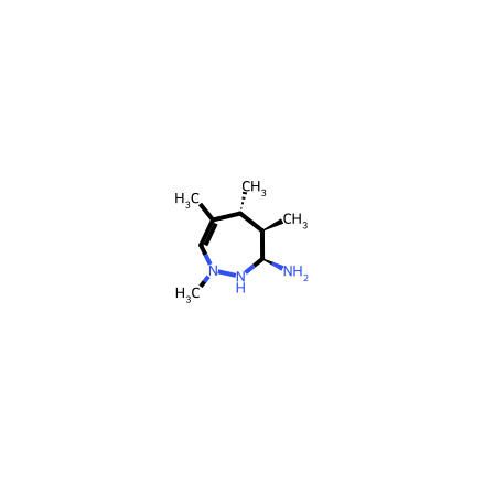 CC1=CN(C)N[C@H](N)[C@H](C)[C@H]1C